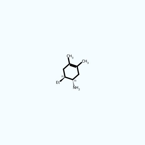 CC[C@H]1CC(C)=C(C)C[C@@H]1N